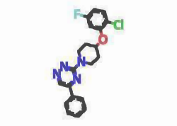 Fc1ccc(Cl)c(OC2CCN(c3nncc(-c4ccccc4)n3)CC2)c1